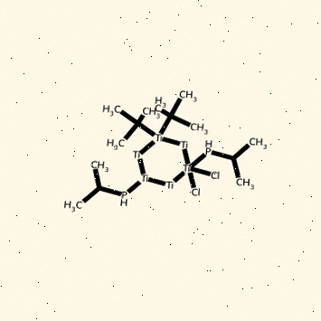 CC(C)[PH][Ti]1[Ti][Ti]([C](C)(C)C)([C](C)(C)C)[Ti][Ti]([Cl])([Cl])([PH]C(C)C)[Ti]1